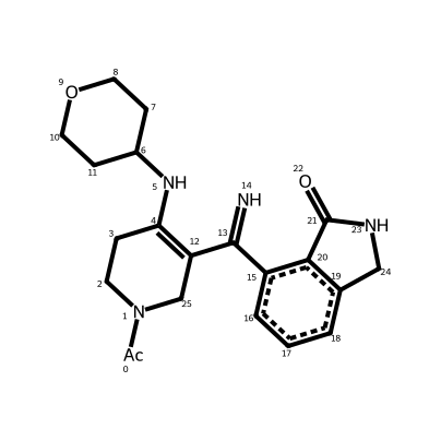 CC(=O)N1CCC(NC2CCOCC2)=C(C(=N)c2cccc3c2C(=O)NC3)C1